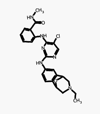 CCN1CC2OC(C1)c1cc(Nc3ncc(Cl)c(Nc4ccccc4C(=O)NC)n3)ccc12